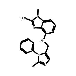 Cc1ncc(CNc2cccc3c2nc(N)n3C)n1-c1ccccc1